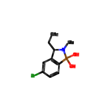 CC(=O)OCC1c2cc(Br)ccc2S(O)(O)N1C(C)(C)C